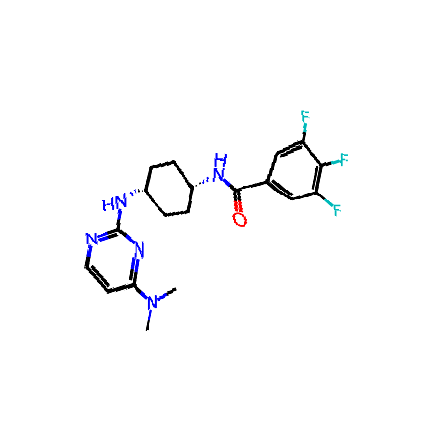 CN(C)c1ccnc(N[C@H]2CC[C@@H](NC(=O)c3cc(F)c(F)c(F)c3)CC2)n1